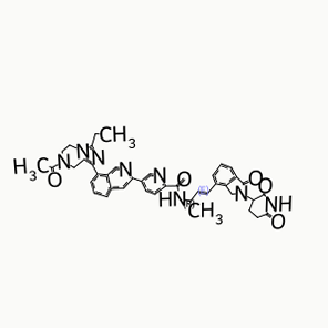 CCc1nc(-c2cccc3cc(-c4ccc(C(=O)N[C@H](C)/C=C/c5cccc6c5CN(C5CCC(=O)NC5=O)C6=O)nc4)ncc23)c2n1CCN(C(C)=O)C2